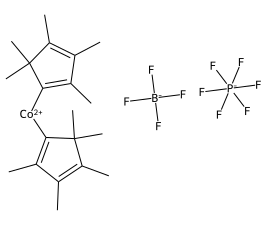 CC1=C(C)C(C)(C)[C]([Co+2][C]2=C(C)C(C)=C(C)C2(C)C)=C1C.F[B-](F)(F)F.F[P-](F)(F)(F)(F)F